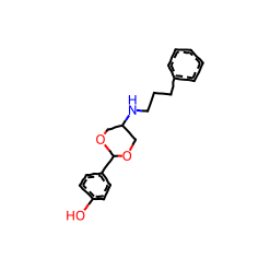 Oc1ccc(C2OCC(NCCCc3ccccc3)CO2)cc1